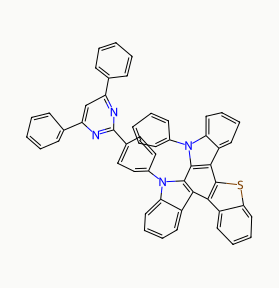 c1ccc(-c2cc(-c3ccccc3)nc(-c3ccc(-n4c5ccccc5c5c6c7ccccc7sc6c6c7ccccc7n(-c7ccccc7)c6c54)cc3)n2)cc1